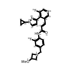 COC1CN(Cc2ccc(NC(=O)C=Cc3cncc(F)c3-c3ccn(C4CC4)n3)c(F)c2)C1